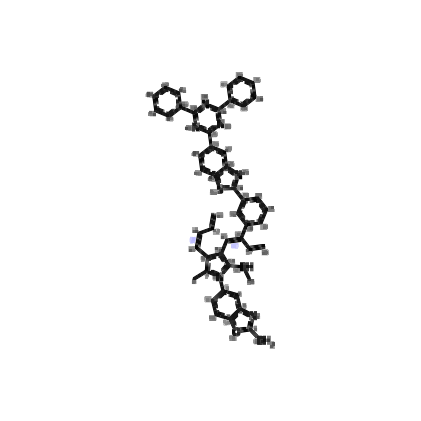 Bc1nc2cc(-n3c(C)c(/C=C\C=C)c(/C=C(\C=C)c4cccc(-c5nc6cc(-c7nc(-c8ccccc8)nc(-c8ccccc8)n7)ccc6s5)c4)c3BC)ccc2o1